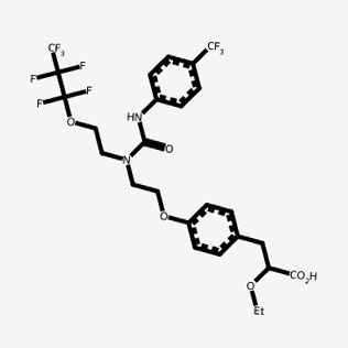 CCOC(Cc1ccc(OCCN(CCOC(F)(F)C(F)(F)C(F)(F)F)C(=O)Nc2ccc(C(F)(F)F)cc2)cc1)C(=O)O